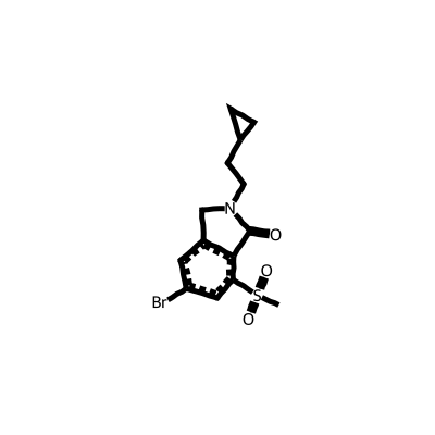 CS(=O)(=O)c1cc(Br)cc2c1C(=O)N(CCC1CC1)C2